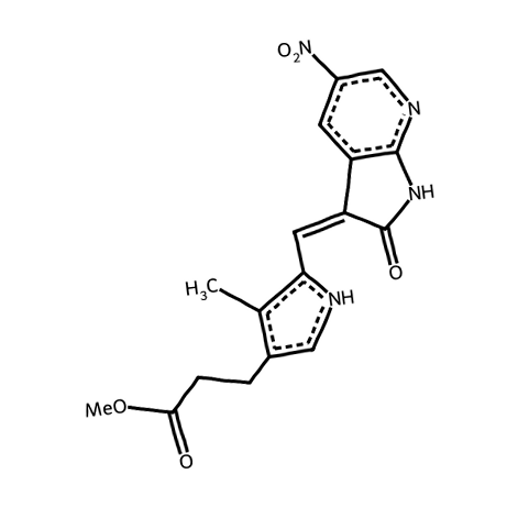 COC(=O)CCc1c[nH]c(C=C2C(=O)Nc3ncc([N+](=O)[O-])cc32)c1C